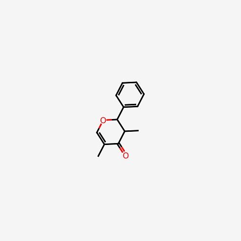 CC1=COC(c2ccccc2)C(C)C1=O